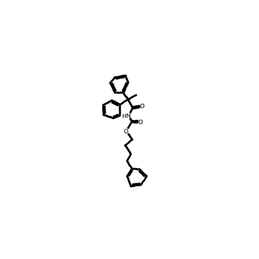 CC(C(=O)NC(=O)OCCCCc1ccccc1)(c1ccccc1)c1ccccc1